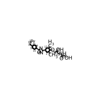 Cc1cc(-c2noc(-c3ccc(CC(C)C)cc3)n2)cc(C)c1OC[C@@H](O)CNC(=O)CO